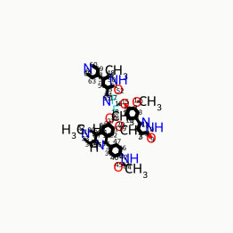 COc1cc(-c2ccc(=O)[nH]n2)ccc1OC(F)F.COc1cc2c(cc1OC)[C@@H]1CN(C)CC[C@@H]1N=C2c1ccc(NC(C)=O)cc1.Cc1[nH]c(=O)c(C#N)cc1-c1ccncc1